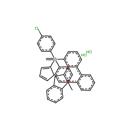 Cl.Cl.[CH2]=[Zr]([C]1=CC=CC1)([c]1ccc(C)cc1)([c]1ccc(Cl)cc1)[c]1cccc2c1c1c(c3ccccc32)-c2ccccc2C1